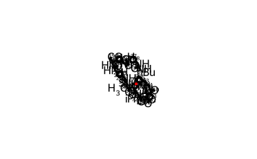 CCCCNC(=O)NC1=CC(S(=O)(=O)Nc2cccc(C(CC(=O)O)NC(=O)Nc3ccc(NC(=S)N[C@@H](C)C(=O)N4CCC[C@H]4C(=O)N[C@H](C(=O)O[C@]4(CC)C(=O)OCc5c4cc4n(c5=O)Cc5cc6ccccc6nc5-4)C(C)C)cc3)c2)CC=C1